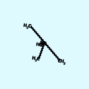 CCCCCCCCCCCCCCCCCCN(CCCCCCCCCCCCCCCCCC)C(CCCCCCCCCCCC)C(=O)O